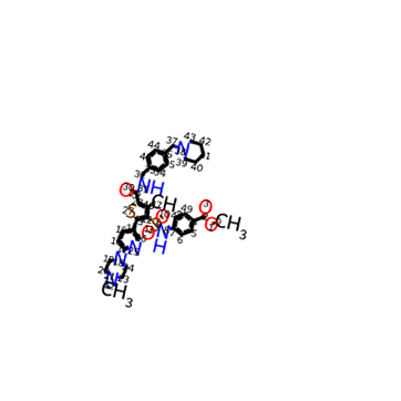 COC(=O)c1ccc(NS(=O)(=O)c2c(-c3ccc(N4CCN(C)CC4)nc3)sc(C(=O)NCc3ccc(CN4CCCCC4)cc3)c2C)cc1